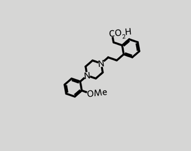 COc1ccccc1N1CCN(CCc2ccccc2CC(=O)O)CC1